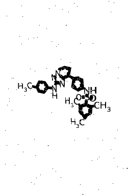 Cc1ccc(Nc2nc3c(-c4ccc(NS(=O)(=O)c5c(C)cc(C)cc5C)cc4)cccn3n2)cc1